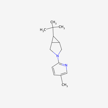 Cc1ccc(N2CC3C(C2)C3C(C)(C)C)nc1